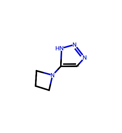 [c]1nn[nH]c1N1CCC1